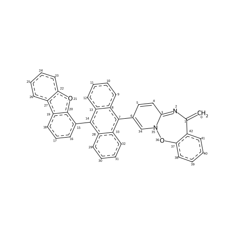 C=C1N=C2C=CC(c3c4ccccc4c(-c4cccc5c4oc4ccccc45)c4ccccc34)=CN2Oc2ccccc21